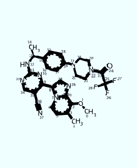 COc1c(C)ccn2c(-c3nc(N[C@@H](C)c4ccc(N5CCN(C(=O)C(F)(F)F)CC5)cc4)ncc3C#N)cnc12